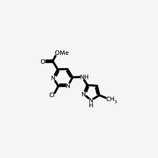 COC(=O)c1cc(Nc2cc(C)[nH]n2)nc(Cl)n1